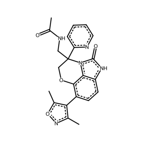 CC(=O)NCC1(c2ccccn2)COc2c(-c3c(C)noc3C)ccc3[nH]c(=O)n1c23